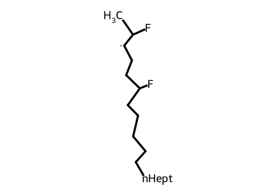 CCCCCCCCCCCCC(F)CC[CH]C(C)F